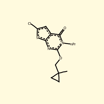 CCCn1c(OCC2(C)CC2)nc2sc(Cl)cc2c1=O